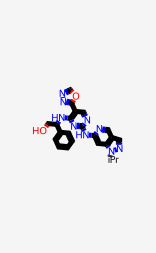 CC(C)n1ncc2cnc(Nc3ncc(-c4nnco4)c(NC(CO)c4ccccc4)n3)cc21